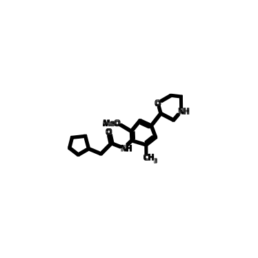 COc1cc(C2CNCCO2)cc(C)c1NC(=O)CC1CCCC1